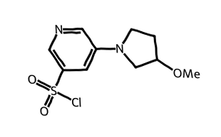 COC1CCN(c2cncc(S(=O)(=O)Cl)c2)C1